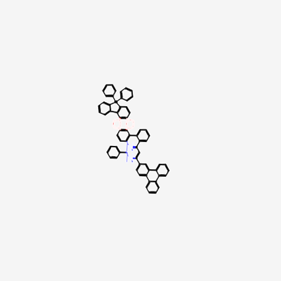 c1ccc(-c2nc(-c3ccc4c5ccccc5c5ccccc5c4c3)cc(-c3ccccc3-c3cccc4c3Oc3ccc5c(c3O4)-c3ccccc3C5(c3ccccc3)c3ccccc3)n2)cc1